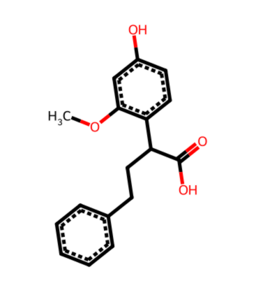 COc1cc(O)ccc1C(CCc1ccccc1)C(=O)O